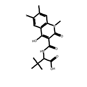 Cc1cc2c(cc1I)c(O)c(C(=O)NC(C(=O)O)C(C)(C)C)c(=O)n2C